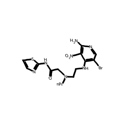 CCCN(CCNc1c(Br)cnc(N)c1[N+](=O)[O-])CC(=O)Nc1nccs1